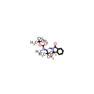 CN(C(=O)OC(C)(C)C)[C@H](CN1C(=O)c2ccccc2C1=O)C(C)(C)C